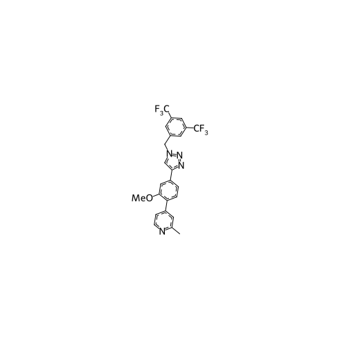 COc1cc(-c2cn(Cc3cc(C(F)(F)F)cc(C(F)(F)F)c3)nn2)ccc1-c1ccnc(C)c1